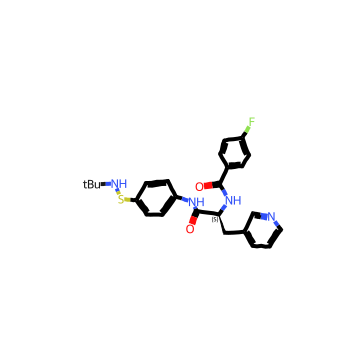 CC(C)(C)NSc1ccc(NC(=O)[C@H](Cc2cccnc2)NC(=O)c2ccc(F)cc2)cc1